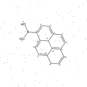 OB(O)C1=CC=C2C=CC3=C4C(=CC=C1C24)CC=C3